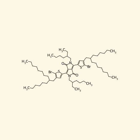 CCCCCCCCC(CCCCCC)Cc1cc(C2=C3C(=O)N(CC(CC)CCCC)C(c4cc(CC(CCCCCC)CCCCCCCC)c(Br)s4)=C3C(=O)N2CC(CC)CCCC)sc1Br